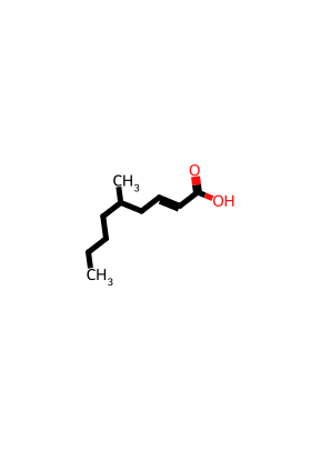 CCCCC(C)CC=CC(=O)O